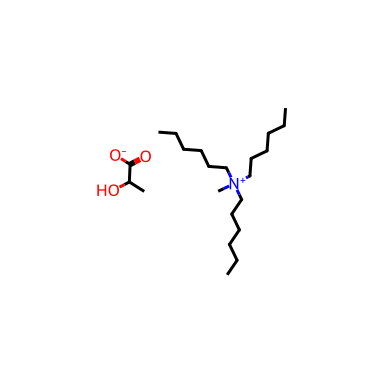 CC(O)C(=O)[O-].CCCCCC[N+](C)(CCCCCC)CCCCCC